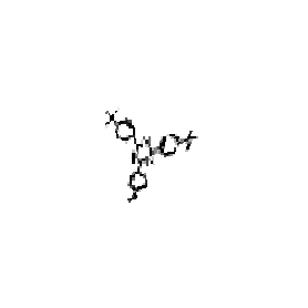 C=Cc1ccc(-c2nc(-c3ccc(C(C)(C)C)cc3)nc(-c3ccc(C(C)(C)C)cc3)n2)cc1